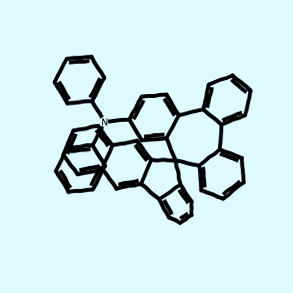 c1ccc(N(c2ccccc2)c2ccc3c(c2)C2(c4ccccc4-c4ccccc4-3)c3ccccc3-c3cc4ccccc4cc32)cc1